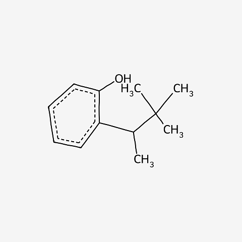 CC(c1ccccc1O)C(C)(C)C